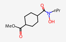 CCCN(O)C(=O)C1CCC(C(=O)OC)CC1